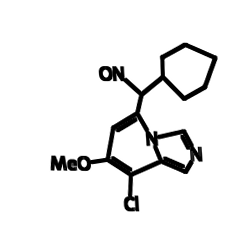 COc1cc(C(N=O)C2CCCCC2)n2cncc2c1Cl